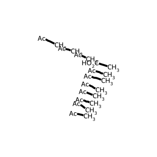 CC(=O)O.CC(C)=O.CC(C)=O.CC(C)=O.CC(C)=O.CC(C)=O.CC(C)=O.CC(C)=O.CC(C)=O.CC(C)=O.CC(C)=O